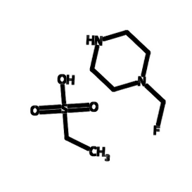 CCS(=O)(=O)O.FCN1CCNCC1